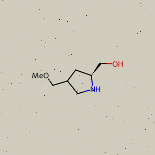 COCC1CN[C@H](CO)C1